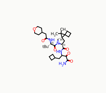 CC(C)(C)[C@H](NC(=O)CC1CCOCC1)C(=O)N1C[C@]2(C[C@H]1C(=O)NC(CC1CCC1)C(=O)C(N)=O)C(C)(C)C21CCC1